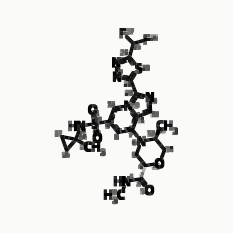 CNC(=O)[C@@H]1CN(c2cc(S(=O)(=O)NC3(C)CC3)cn3c(-c4nnc(C(F)F)s4)ncc23)[C@@H](C)CO1